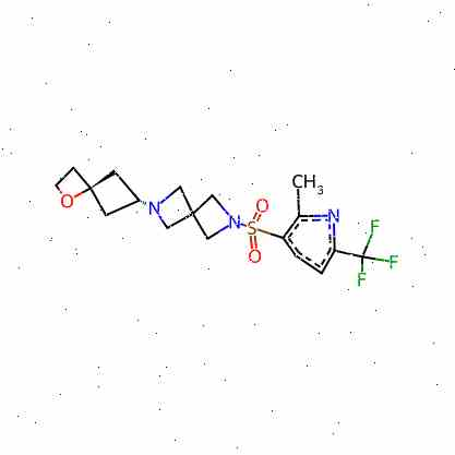 Cc1nc(C(F)(F)F)ccc1S(=O)(=O)N1CC2(C1)CN([C@H]1C[C@@]3(CCO3)C1)C2